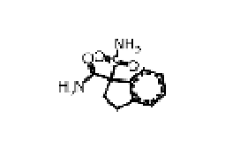 NC(=O)C1(S(N)(=O)=O)CCc2ccccc21